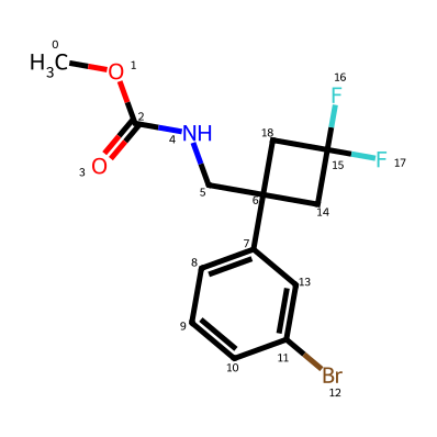 COC(=O)NCC1(c2cccc(Br)c2)CC(F)(F)C1